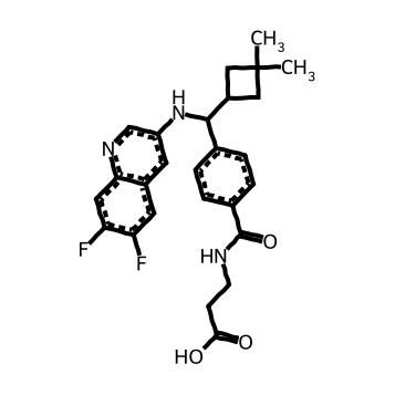 CC1(C)CC(C(Nc2cnc3cc(F)c(F)cc3c2)c2ccc(C(=O)NCCC(=O)O)cc2)C1